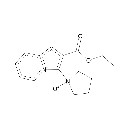 CCOC(=O)c1cc2ccccn2c1[N+]1([O-])CCCC1